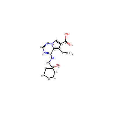 CCc1c(C(=O)O)cn2ncnc(NCC3(O)CCCCC3)c12